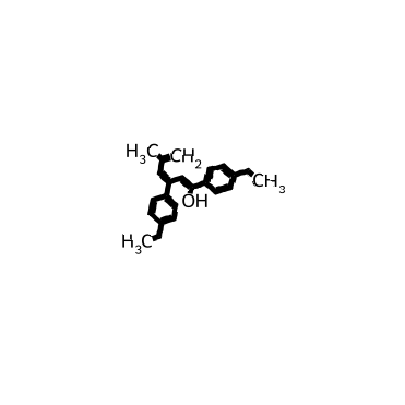 C=C(C)/C=C(\C=C(/O)c1ccc(CC)cc1)c1ccc(CC)cc1